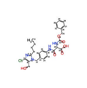 CCCCc1nc(Cl)c(CO)n1Cc1ccc(NC(=O)C(NC(=O)OCc2ccccc2)C(=O)O)cc1